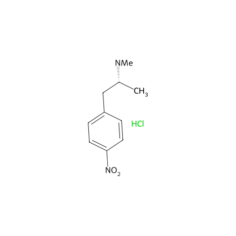 CN[C@H](C)Cc1ccc([N+](=O)[O-])cc1.Cl